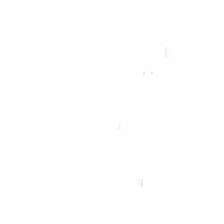 CC(C)OC(=S)SCC(=O)OC(C)(C)C